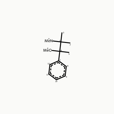 CNC(C)(C)C(C)(OC)c1ccccc1